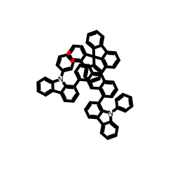 c1ccc(-n2c3ccccc3c3cccc(-c4cccc5c(-c6cccc7c6C6(c8ccccc8-c8ccccc86)c6ccccc6-7)c6cccc(-c7cccc8c9ccccc9n(-c9ccccc9)c78)c6cc45)c32)cc1